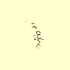 COc1cnc(C(=O)Nc2ccc3c(c2)[C@@]2(CCSC(N)=N2)c2cc(C4=CCCOC4)nc(F)c2O3)cn1